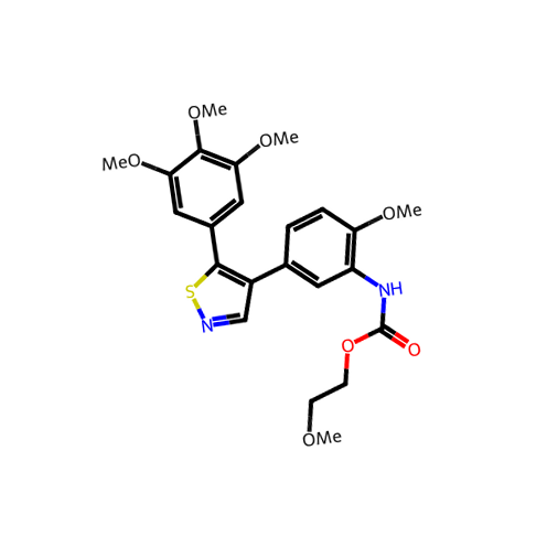 COCCOC(=O)Nc1cc(-c2cnsc2-c2cc(OC)c(OC)c(OC)c2)ccc1OC